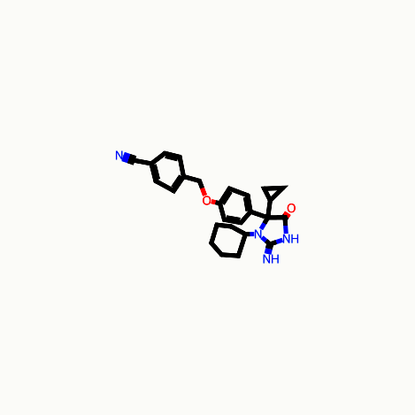 N#Cc1ccc(COc2ccc(C3(C4CC4)C(=O)NC(=N)N3C3CCCCC3)cc2)cc1